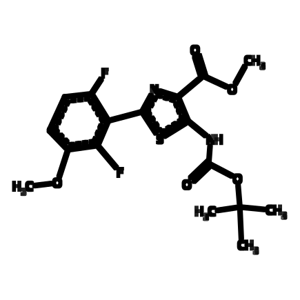 COC(=O)c1nc(-c2c(F)ccc(OC)c2F)sc1NC(=O)OC(C)(C)C